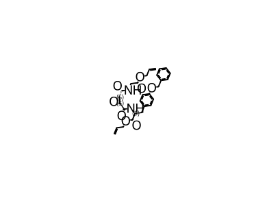 C=CCOC(=O)CNC(=O)[C@H]1O[C@@H]1C(=O)N[C@@H](Cc1ccc(OCc2ccccc2)cc1)C(=O)OCC=C